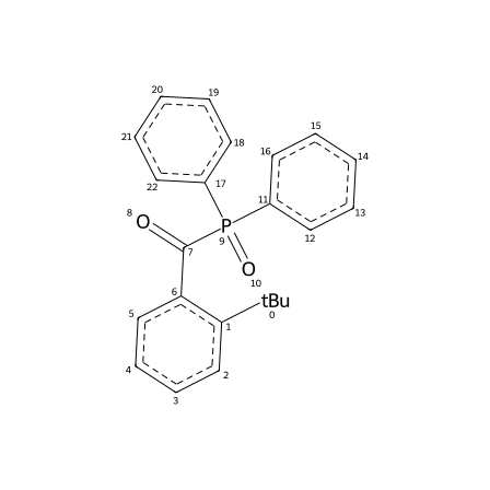 CC(C)(C)c1ccccc1C(=O)P(=O)(c1ccccc1)c1ccccc1